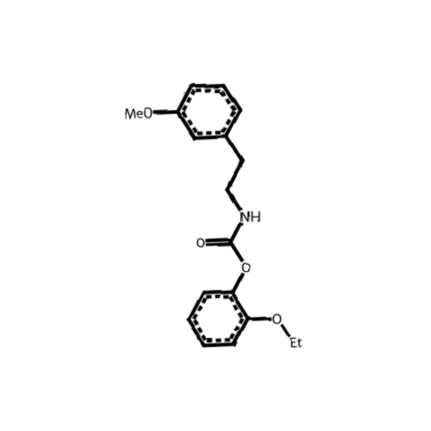 CCOc1ccccc1OC(=O)NCCc1cccc(OC)c1